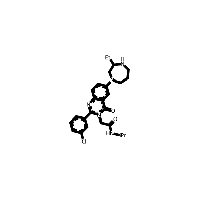 CCC1CN(c2ccc3nc(-c4cccc(Cl)c4)n(CC(=O)NC(C)C)c(=O)c3c2)CCCN1